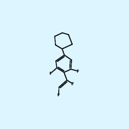 F/C=C(\F)c1c(F)cc(C2CCCCC2)cc1F